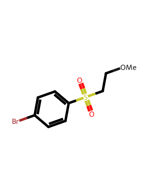 COCCS(=O)(=O)c1ccc(Br)cc1